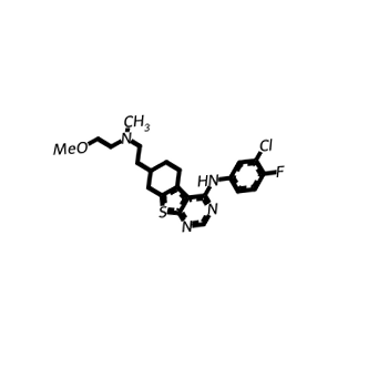 COCCN(C)CCC1CCc2c(sc3ncnc(Nc4ccc(F)c(Cl)c4)c23)C1